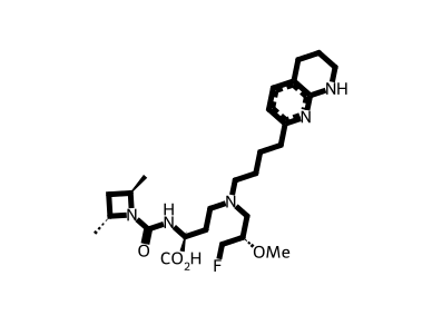 CO[C@H](CF)CN(CCCCc1ccc2c(n1)NCCC2)CC[C@H](NC(=O)N1[C@H](C)C[C@H]1C)C(=O)O